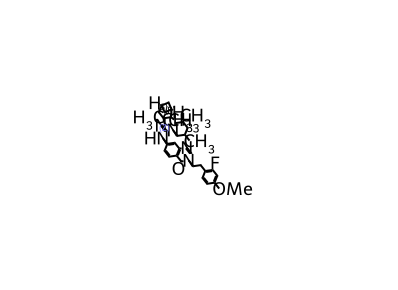 COc1ccc(CCn2cnc3cc(N/C(=N/C4C[C@@H]5C[C@H](C4C)C5(C)C)N4CC(C)CC(C)C4)ccc3c2=O)c(F)c1